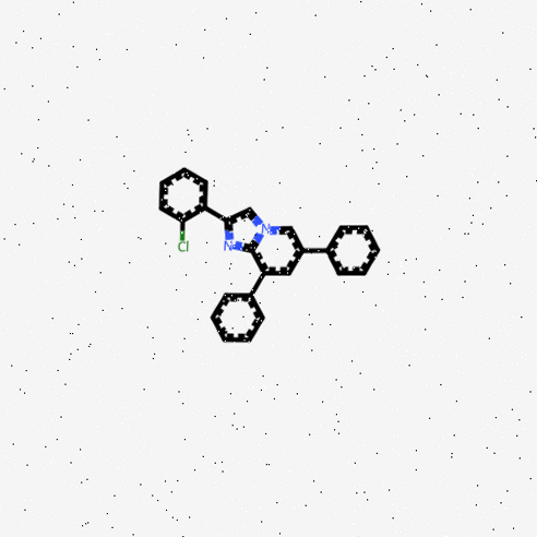 Clc1ccccc1-c1cn2cc(-c3ccccc3)cc(-c3ccccc3)c2n1